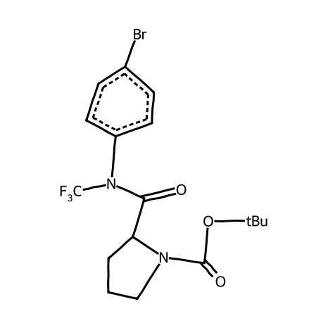 CC(C)(C)OC(=O)N1CCCC1C(=O)N(c1ccc(Br)cc1)C(F)(F)F